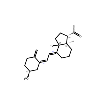 C=C1CC[C@H](O)C/C1=C/C=C1\CCC[C@]2(C)[C@@H](C(C)=O)CC[C@@H]12